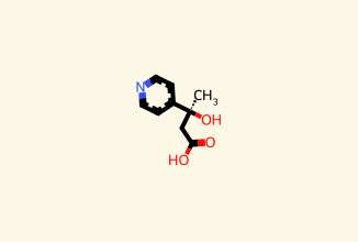 C[C@](O)(CC(=O)O)c1ccncc1